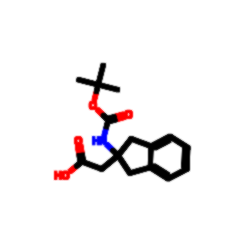 CC(C)(C)OC(=O)NC1(CC(=O)O)Cc2ccccc2C1